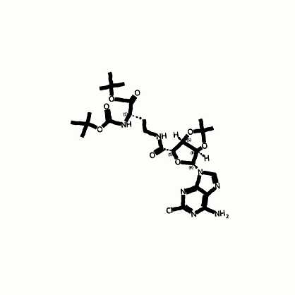 CC(C)(C)OC(=O)N[C@@H](CCNC(=O)[C@H]1O[C@@H](n2cnc3c(N)nc(Cl)nc32)[C@@H]2OC(C)(C)O[C@@H]21)C(=O)OC(C)(C)C